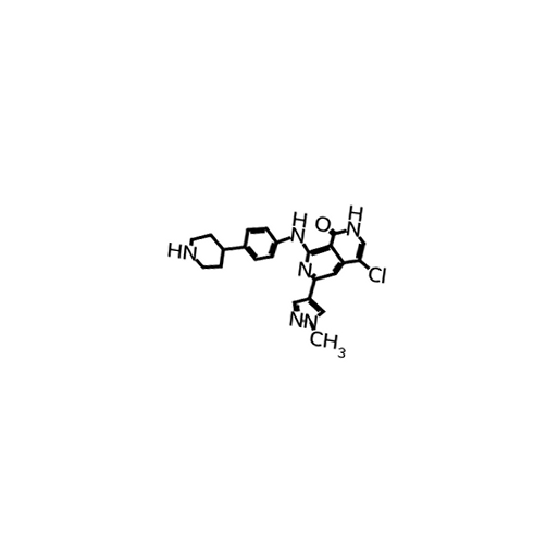 Cn1cc(-c2cc3c(Cl)c[nH]c(=O)c3c(Nc3ccc(C4CCNCC4)cc3)n2)cn1